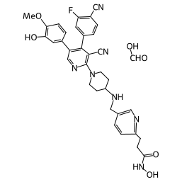 COc1ccc(-c2cnc(N3CCC(NCc4ccc(CCC(=O)NO)nc4)CC3)c(C#N)c2-c2ccc(C#N)c(F)c2)cc1O.O=CO